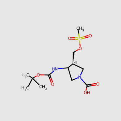 CC(C)(C)OC(=O)NC1CN(C(=O)O)C[C@@H]1COS(C)(=O)=O